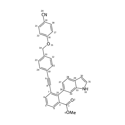 COC(=O)c1cccc(C#Cc2ccc(COc3ccc(C#N)cc3)cc2)c1-c1ccc2cc[nH]c2c1